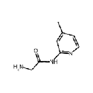 Cc1ccnc(NC(=O)CN)c1